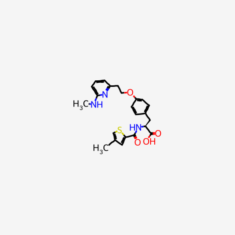 CNc1cccc(CCOc2ccc(C[C@H](NC(=O)c3cc(C)cs3)C(=O)O)cc2)n1